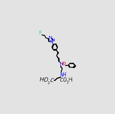 O=C(O)CCC(NCCCN(CCCCc1ccc(-n2cc(CCCF)nn2)cc1)OCc1ccccc1)C(=O)O